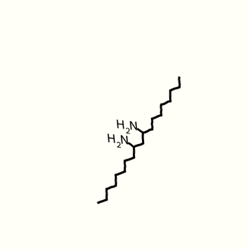 CCCCCCCCC(N)CC(N)CCCCCCCC